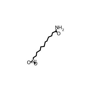 NC(=O)CCCCCCCCCCC[N+](=O)[O-]